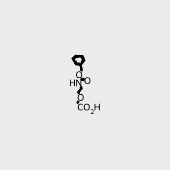 O=C(O)COCCNC(=O)OCc1ccccc1